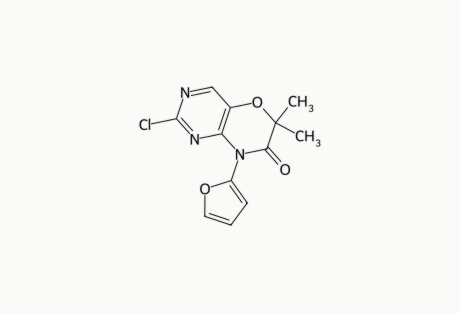 CC1(C)Oc2cnc(Cl)nc2N(c2ccco2)C1=O